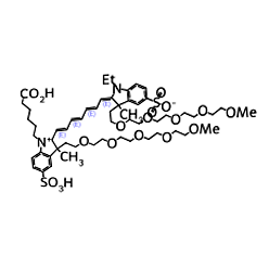 CCN1/C(=C/C=C/C=C/C=C/C2=[N+](CCCCCC(=O)O)c3ccc(S(=O)(=O)O)cc3C2(C)CCOCCOCCOCCOCCOC)C(C)(CCOCCOCCOCCOCCOC)c2cc(S(=O)(=O)[O-])ccc21